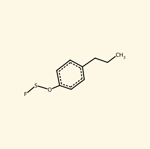 CCCc1ccc(OSF)cc1